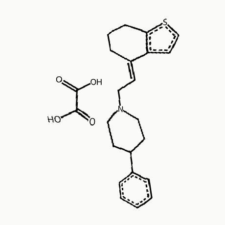 C(CN1CCC(c2ccccc2)CC1)=C1CCCc2sccc21.O=C(O)C(=O)O